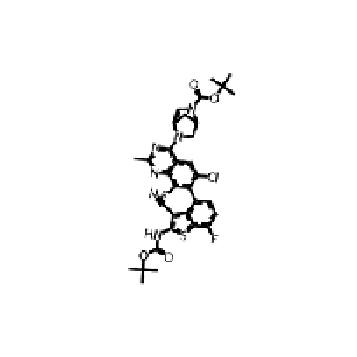 Cc1nc(N2CC3CC2=CN3C(=O)OC(C)(C)C)c2cc(Cl)c(-c3ccc(F)c4sc(NC(=O)OC(C)(C)C)c(C#N)c34)c(F)c2n1